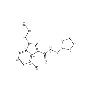 O=C(NCC1CCCC1)c1cn(CCO)c2cccc(Br)c12